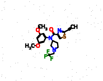 C#Cc1nc(C(=O)N(c2cc(OC)cc(OC)c2)[C@@H]2CCN(CC(F)(F)F)C2)cs1